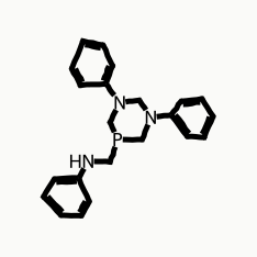 c1ccc(NCP2CN(c3ccccc3)CN(c3ccccc3)C2)cc1